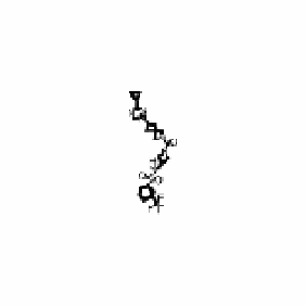 O=C(N1CC(CNS(=O)(=O)c2cccc(C(F)(F)F)c2)C1)N1CC2(CC(n3cnc(C4CC4)n3)C2)C1